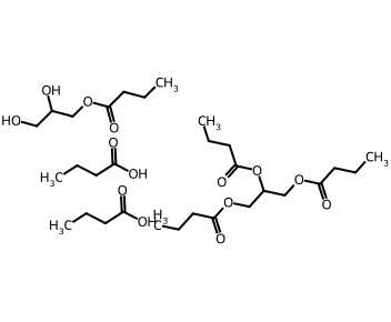 CCCC(=O)O.CCCC(=O)O.CCCC(=O)OCC(COC(=O)CCC)OC(=O)CCC.CCCC(=O)OCC(O)CO